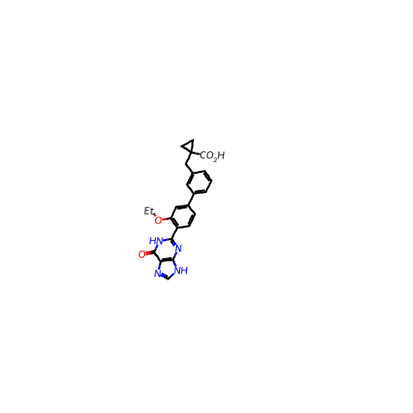 CCOc1cc(-c2cccc(CC3(C(=O)O)CC3)c2)ccc1-c1nc2[nH]cnc2c(=O)[nH]1